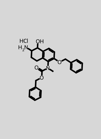 CN(C(=O)OCc1ccccc1)c1c(OCc2ccccc2)ccc2c1CCC(N)C2O.Cl